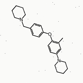 Cc1cc(N2CCCCC2)ccc1Oc1ccc(CN2CCCCC2)cc1